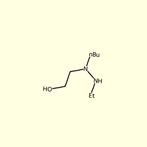 CCCCN(CCO)NCC